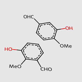 COc1c(O)cccc1C=O.COc1ccc(C=O)cc1O